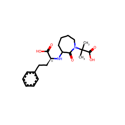 CC(C)(C(=O)O)N1CCCCC(N[C@@H](CCc2ccccc2)C(=O)O)C1=O